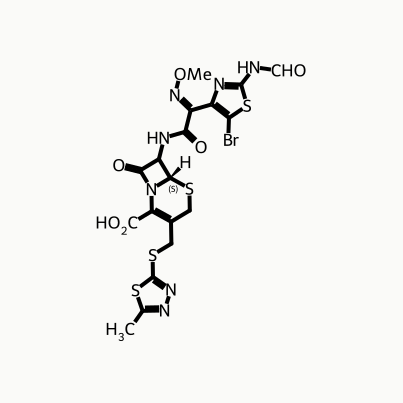 CON=C(C(=O)NC1C(=O)N2C(C(=O)O)=C(CSc3nnc(C)s3)CS[C@@H]12)c1nc(NC=O)sc1Br